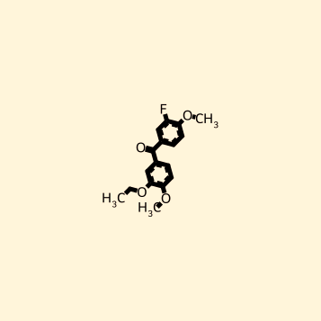 CCOc1cc(C(=O)c2ccc(OC)c(F)c2)ccc1OC